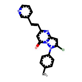 O=c1cc(/C=C/c2cccnc2)nc2cc(Cl)n(-c3ccc([N+](=O)[O-])cc3)n12